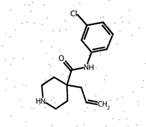 C=CCC1(C(=O)Nc2cccc(Cl)c2)CCNCC1